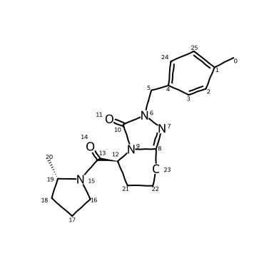 Cc1ccc(Cn2nc3n(c2=O)[C@H](C(=O)N2CCC[C@@H]2C)CCC3)cc1